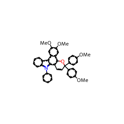 COc1ccc(C2(c3ccc(OC)cc3)C=Cc3c(c4cc(OC)c(OC)cc4c4c5ccccc5n(-c5ccccc5)c34)O2)cc1